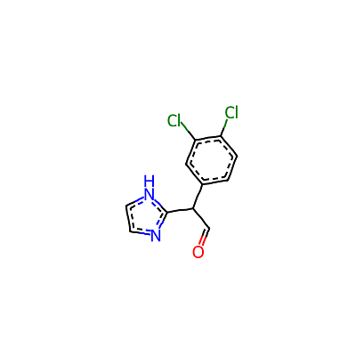 O=CC(c1ccc(Cl)c(Cl)c1)c1ncc[nH]1